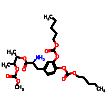 CCCCCOC(=O)Oc1ccc(C[C@H](N)C(=O)O[C@@H](C)C(C)OC(=O)OC)cc1OC(=O)OCCCCC